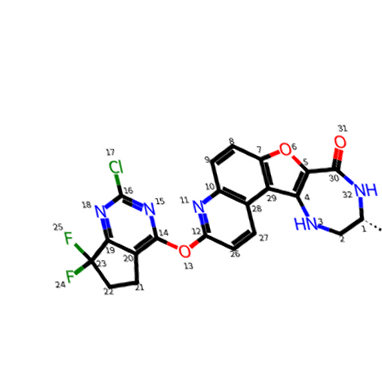 C[C@@H]1CNc2c(oc3ccc4nc(Oc5nc(Cl)nc6c5CCC6(F)F)ccc4c23)C(=O)N1